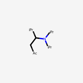 CC(=O)CC(C(C)C)N(C(C)C)C(C)C